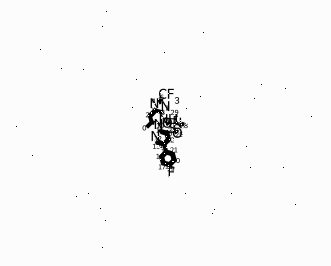 CC1C=C2N=C(C(F)(F)F)N=C2NN1c1ncc(-c2ccc(F)cc2)cc1S(=O)(=O)N(C)C